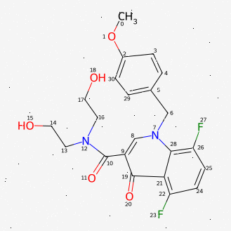 COc1ccc(Cn2cc(C(=O)N(CCO)CCO)c(=O)c3c(F)ccc(F)c32)cc1